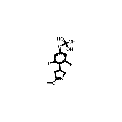 COC1=NCC(c2c(F)cc(OC(O)(O)O)cc2F)C1